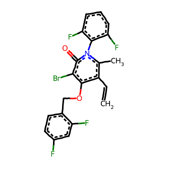 C=Cc1c(OCc2ccc(F)cc2F)c(Br)c(=O)n(-c2c(F)cccc2F)c1C